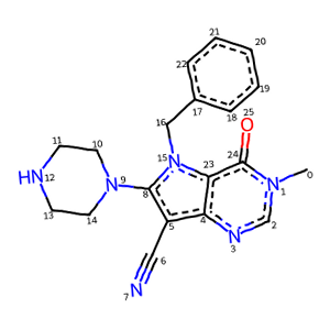 Cn1cnc2c(C#N)c(N3CCNCC3)n(Cc3ccccc3)c2c1=O